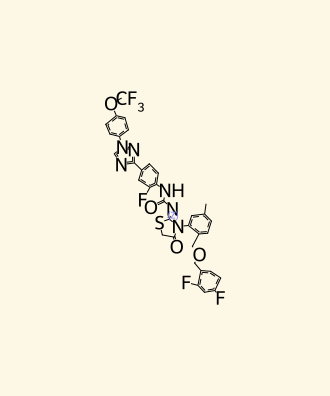 Cc1ccc(COCc2ccc(F)cc2F)c(N2C(=O)CS/C2=N\C(=O)Nc2ccc(-c3ncn(-c4ccc(OC(F)(F)F)cc4)n3)cc2F)c1